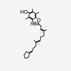 CCCCc1c(C)c(O)c(C)c(C)c1OCC/C=C(\C)CC/C=C(\C)CCC=C1CCCC1